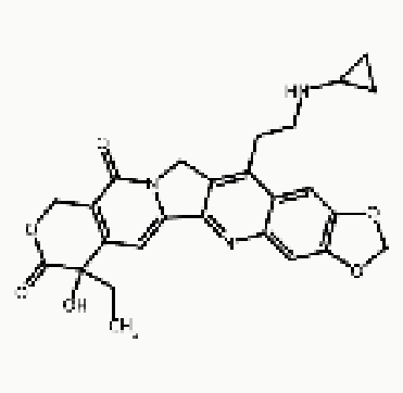 CCC1(O)C(=O)OCc2c1cc1n(c2=O)Cc2c-1nc1cc3c(cc1c2CCNC1CC1)OCO3